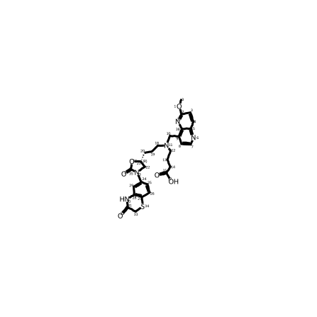 COc1ccc2nccc(CN(CCCC(=O)O)CCC[C@@H]3CN(c4ccc5c(c4)NC(=O)CS5)C(=O)O3)c2n1